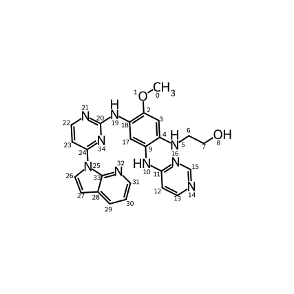 COc1cc(NCCO)c(Nc2ccncn2)cc1Nc1nccc(-n2ccc3cccnc32)n1